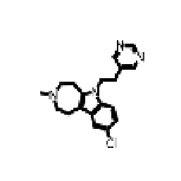 CN1CCc2c(n(CCc3cncnc3)c3ccc(Cl)cc23)CC1